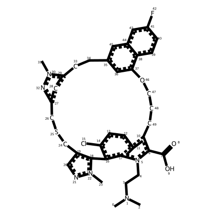 CN(C)CCn1c(C(=O)O)c2c3ccc(Cl)c(c31)-c1c(cnn1C)CSCc1cc(n(C)n1)CCc1cc(c3ccc(F)cc3c1)OCCC2